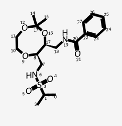 CC(C)S(=O)(=O)NC[C@H]1OCCOC(C)(C)O[C@H]1CNC(=O)c1ccccc1